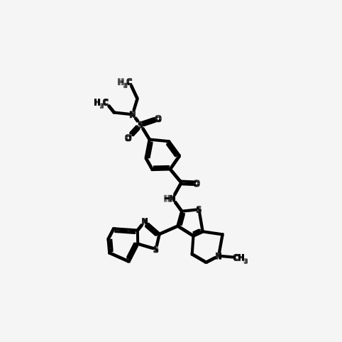 CCN(CC)S(=O)(=O)c1ccc(C(=O)Nc2sc3c(c2-c2nc4ccccc4s2)CCN(C)C3)cc1